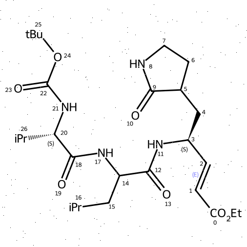 CCOC(=O)/C=C/[C@H](CC1CCNC1=O)NC(=O)C(CC(C)C)NC(=O)[C@@H](NC(=O)OC(C)(C)C)C(C)C